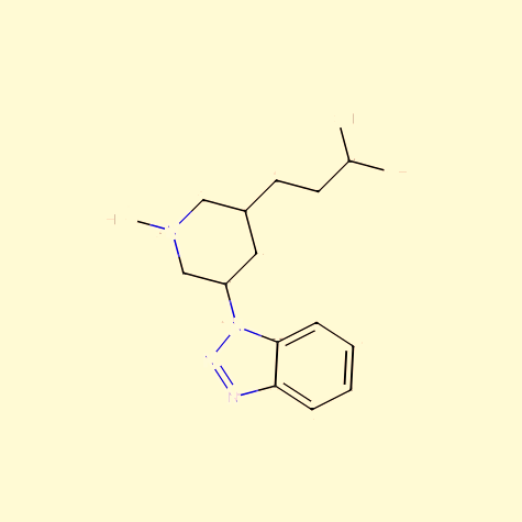 CC(C)CCC1CC(n2nnc3ccccc32)CN(C)C1